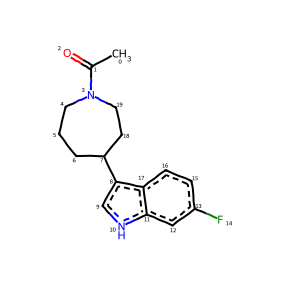 CC(=O)N1CCCC(c2c[nH]c3cc(F)ccc23)CC1